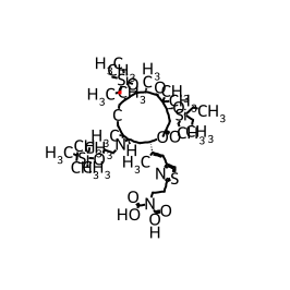 CC[Si](CC)(CC)O[C@H]1[C@@H](C)CCC[C@]2(C)[C@H](C[C@@H](/C(C)=C/c3csc(CCN(C(=O)O)C(=O)O)n3)OC(=O)C[C@H](O[Si](CC)(CC)CC)C(C)(C)C(=O)[C@@H]1C)N2CCO[Si](C)(C)C(C)(C)C